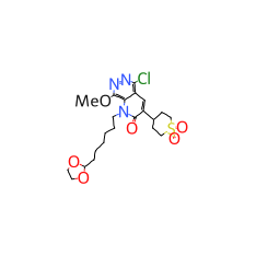 COc1nnc(Cl)c2cc(C3CCS(=O)(=O)CC3)c(=O)n(CCCCCCC3OCCO3)c12